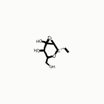 CC[C@@H]1OC(CO)C(O)C2(O)OC12